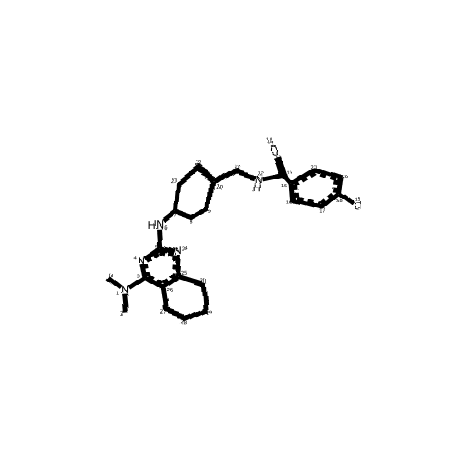 CN(C)c1nc(NC2CCC(CNC(=O)c3ccc(Cl)cc3)CC2)nc2c1CCCC2